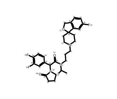 CC(C)N(CCCN1CCC2(CC1)OCc1ccc(F)cc12)C(=O)C(c1ccc(F)c(F)c1)N1CCCC1=O